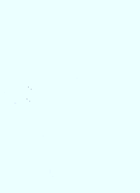 C=C/C=C(/CCN1C(=O)SCCN1CCC(O)Cc1cccc(C#Cc2ccoc2)c1)SC(=O)O